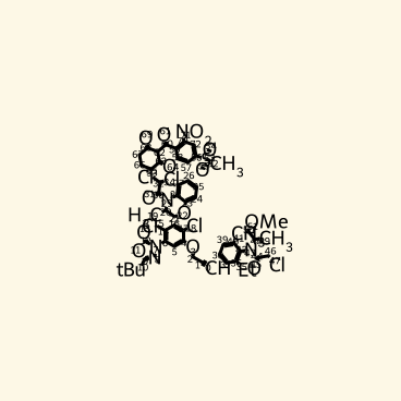 C#CCOc1cc(-n2nc(C(C)(C)C)oc2=O)c(Cl)cc1Cl.CC1COc2ccccc2N1C(=O)C(Cl)Cl.CCc1cccc(C)c1N(C(=O)CCl)C(C)COC.CS(=O)(=O)c1ccc(C(=O)C2C(=O)CCCC2=O)c([N+](=O)[O-])c1